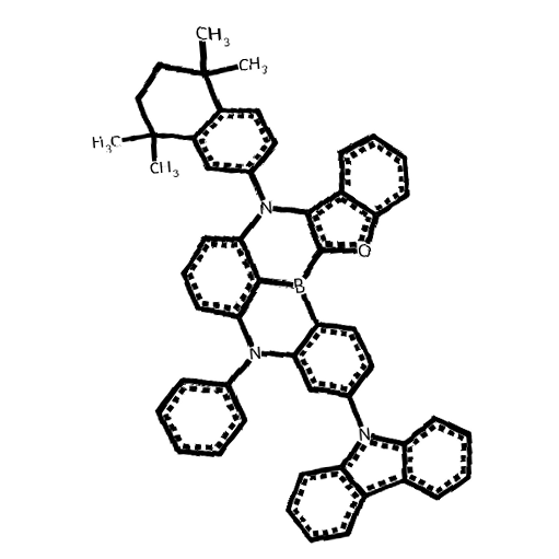 CC1(C)CCC(C)(C)c2cc(N3c4cccc5c4B(c4ccc(-n6c7ccccc7c7ccccc76)cc4N5c4ccccc4)c4oc5ccccc5c43)ccc21